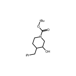 CC(C)CC1CCN(C(=O)OC(C)(C)C)CC1O